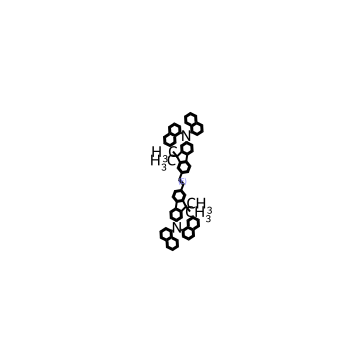 CC1(C)c2cc(/C=C/c3ccc4c(c3)C(C)(C)c3cc(N(c5cccc6ccccc56)c5cccc6ccccc56)ccc3-4)ccc2-c2ccc(N(c3cccc4ccccc34)c3cccc4ccccc34)cc21